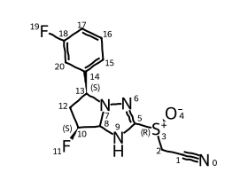 N#CC[S@+]([O-])C1=NN2C(N1)[C@@H](F)C[C@H]2c1cccc(F)c1